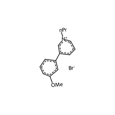 CCC[n+]1cccc(-c2cccc(OC)c2)c1.[Br-]